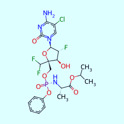 CC(C)OC(=O)[C@H](C)N[P@](=O)(OC[C@@]1(C(F)F)O[C@@H](n2cc(Cl)c(N)nc2=O)[C@H](F)[C@H]1O)Oc1ccccc1